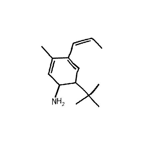 C/C=C\C1=CC(C(C)(C)C)C(N)C=C1C